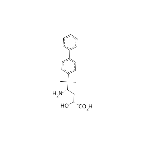 CC(C)(c1ccc(-c2ccccc2)cc1)[C@@H](N)C[C@@H](O)C(=O)O